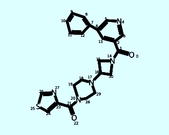 O=C(c1cncc(-c2ccccc2)c1)N1CC(N2CCN(C(=O)c3cscn3)CC2)C1